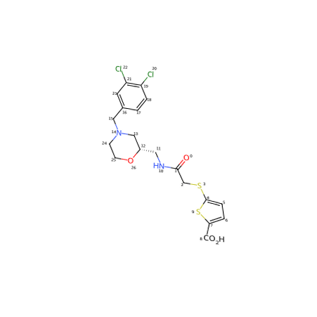 O=C(CSc1ccc(C(=O)O)s1)NC[C@H]1CN(Cc2ccc(Cl)c(Cl)c2)CCO1